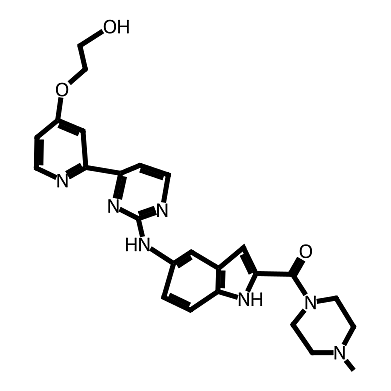 CN1CCN(C(=O)c2cc3cc(Nc4nccc(-c5cc(OCCO)ccn5)n4)ccc3[nH]2)CC1